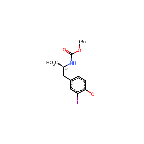 CC(C)(C)OC(=O)N[C@@H](Cc1ccc(O)c(I)c1)C(=O)O